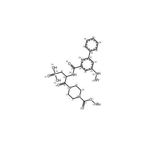 CCCCOC(=O)N1CCN(C(=O)C(CP(=O)(O)O)NC(=O)c2cc(NCCC)cc(-c3ccccc3)n2)CC1